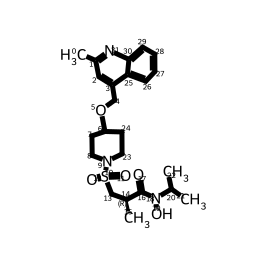 Cc1cc(COC2CCN(S(=O)(=O)C[C@H](C)C(=O)N(O)C(C)C)CC2)c2ccccc2n1